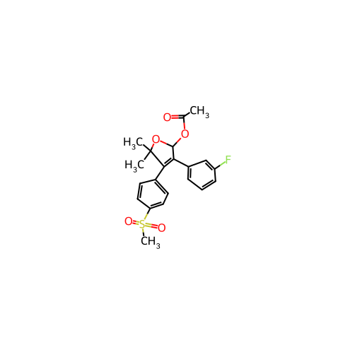 CC(=O)OC1OC(C)(C)C(c2ccc(S(C)(=O)=O)cc2)=C1c1cccc(F)c1